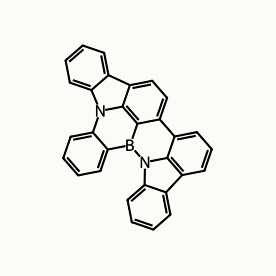 c1ccc2c(c1)B1c3c(ccc4c5ccccc5n-2c34)-c2cccc3c4ccccc4n1c23